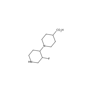 O=C(O)C1CCN(C2CCNCC2F)CC1